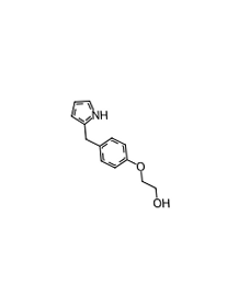 OCCOc1ccc(Cc2ccc[nH]2)cc1